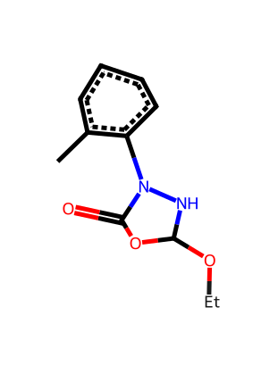 CCOC1NN(c2ccccc2C)C(=O)O1